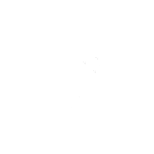 c1ccc(-c2nc(-c3ccc4c(c3)oc3ccccc34)nc(-c3ccc4c(c3)oc3c(-c5ccccc5-c5ccc6c(c5)sc5ccccc56)cccc34)n2)cc1